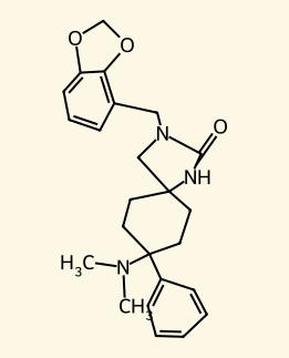 CN(C)C1(c2ccccc2)CCC2(CC1)CN(Cc1cccc3c1OCO3)C(=O)N2